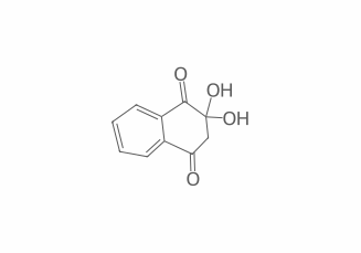 O=C1CC(O)(O)C(=O)c2ccccc21